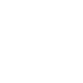 COc1cc2c(Oc3ccc(-c4cnc(NCC5CC5)n(C)c4=O)cc3F)ccnc2cc1OCCCN1CCOCC1